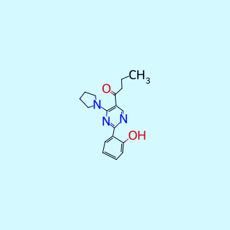 CCCC(=O)c1cnc(-c2ccccc2O)nc1N1CCCC1